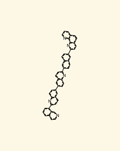 c1cc(-c2ccc3cc(-c4ccc5nc(-c6ccc7cc(-c8ccc9ccc%10cccnc%10c9n8)ccc7c6)ccc5c4)ccc3n2)c2cnccc2c1